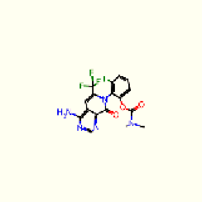 CN(C)C(=O)Oc1cccc(F)c1-n1c(C(F)(F)F)cc2c(N)ncnc2c1=O